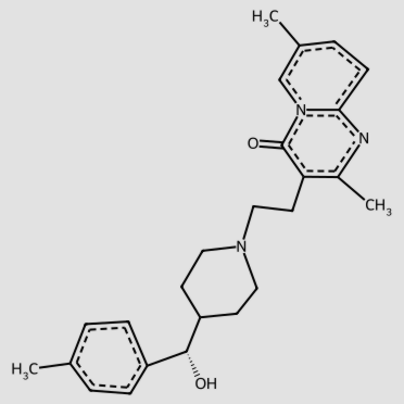 Cc1ccc([C@@H](O)C2CCN(CCc3c(C)nc4ccc(C)cn4c3=O)CC2)cc1